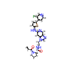 C=CC(=O)N1CCC[C@H]1C(=O)NCCn1cnc2cnc(Nc3ccc(-c4ccncc4F)s3)cc21